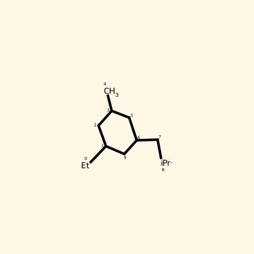 CCC1CC(C)CC(C[C](C)C)C1